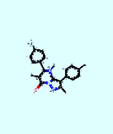 Cc1ccc(-c2c(C)nn3c(=O)c(C)c(-c4ccc(C(F)(F)F)cc4)n(C)c23)cc1